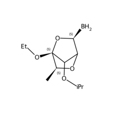 B[C@@H]1O[C@]2(OCC)C(OC(C)C)C1O[C@H]2C